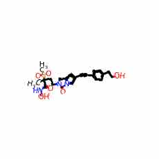 CC(CCN1Cc2cc(C#Cc3ccc(CCO)cc3)cn2C1=O)(C(=O)NO)S(C)(=O)=O